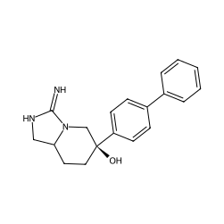 N=C1NCC2CC[C@@](O)(c3ccc(-c4ccccc4)cc3)CN12